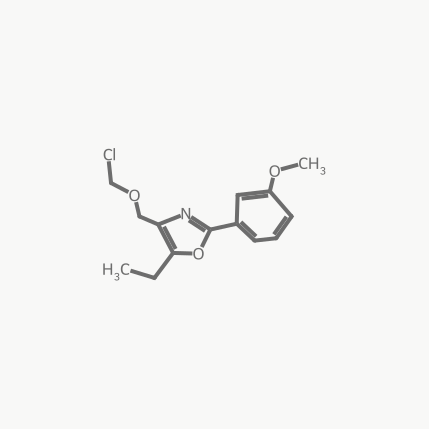 CCc1oc(-c2cccc(OC)c2)nc1COCCl